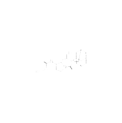 CC(O)CC12CC3CC(C1)C(OC(=O)N1CCC(NC(=O)OC(C)(C)C)C1)C(C3)C2